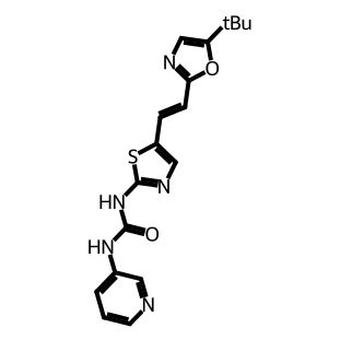 CC(C)(C)c1cnc(C=Cc2cnc(NC(=O)Nc3cccnc3)s2)o1